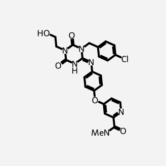 CNC(=O)c1cc(Oc2ccc(/N=c3\[nH]c(=O)n(CCO)c(=O)n3Cc3ccc(Cl)cc3)cc2)ccn1